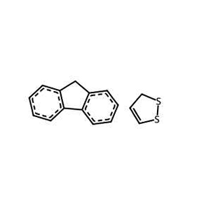 C1=CSSC1.c1ccc2c(c1)Cc1ccccc1-2